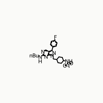 CCCCNc1ncc2c(-c3ccc(F)cc3)nn(CC3CCC(NS(C)(=O)=O)CC3)c2n1